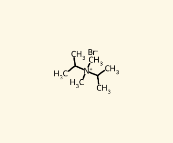 CC(C)[N+](C)(C)C(C)C.[Br-]